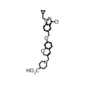 O=C(O)C1CCN(CC2=Cc3ccc(OCc4ccc5c(c4)c(Cl)nn5CC4CC4)cc3OC2)CC1